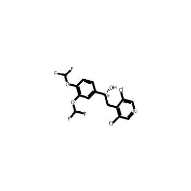 O[C@H](Cc1c(Cl)cncc1Cl)c1ccc(OC(F)F)c(OC(F)F)c1